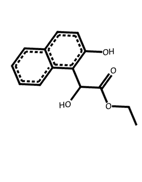 CCOC(=O)C(O)c1c(O)ccc2ccccc12